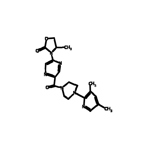 Cc1cnc(N2CCN(C(=O)c3cnc(N4C(=O)OCC4C)cn3)CC2)c(C)c1